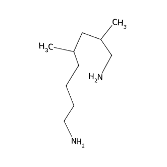 CC(CN)CC(C)CCCCN